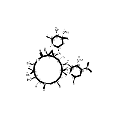 CC[C@H]1OC(=O)[C@@H]2C[C@]2(O[C@H]2C[C@@](C)(OC)[C@@H](O)[C@H](C)O2)[C@H](C)[C@@H](O[C@@H]2O[C@H](C)C[C@H](N(C)C)[C@H]2OC(C)=O)[C@](C)(O)C[C@@H](C)CN(C)[C@H](C)[C@@H](O)[C@]1(C)O